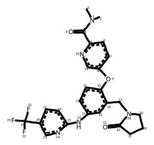 CN(C)C(=O)c1ccc(Oc2ccc(Nc3ccc(C(F)(F)F)cn3)cc2CN2CCCC2=O)cn1